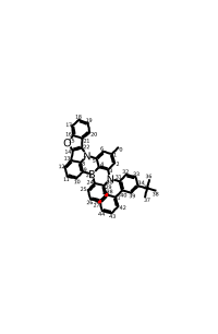 Cc1cc2c3c(c1)-n1c4c(cccc4c4oc5ccccc5c41)B3c1ccccc1N2c1ccc(C(C)(C)C)cc1-c1ccccc1